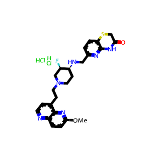 COc1ccc2nccc(CCN3CC[C@@H](NCc4ccc5c(n4)NC(=O)CS5)[C@H](F)C3)c2n1.Cl.Cl